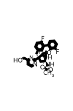 CS(=O)(=O)N[C@@H]1C[C@@](Cc2ccc(F)c(-c3cccc(F)c3O)c2)(c2nccc(CO)n2)[C@H]2C[C@@H]12